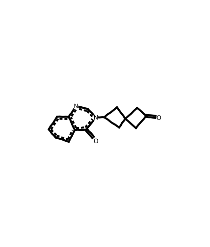 O=C1CC2(C1)CC(n1cnc3ccccc3c1=O)C2